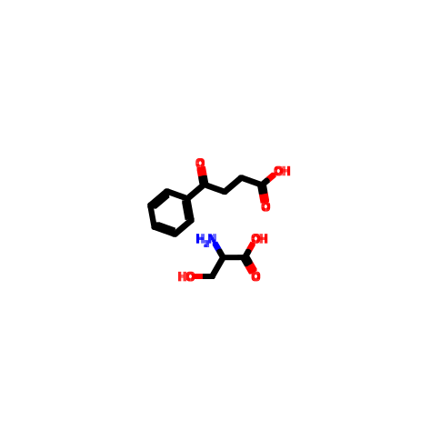 NC(CO)C(=O)O.O=C(O)CCC(=O)c1ccccc1